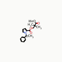 COC(=O)C(C)(C)COC(=O)c1cccn1[C@H](C)c1ccccc1